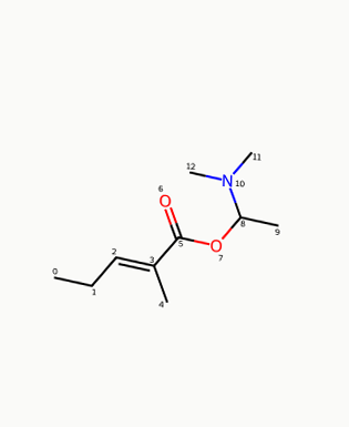 CC/C=C(\C)C(=O)OC(C)N(C)C